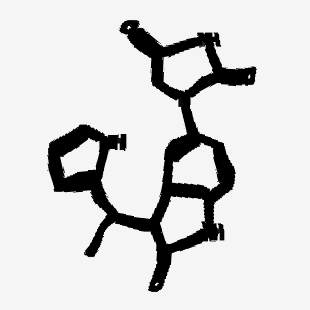 C/C(=C1\C(=O)Nc2ccc(N3CC(=O)NC3=O)cc21)c1ccc[nH]1